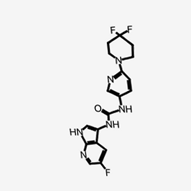 O=C(Nc1ccc(N2CCC(F)(F)CC2)nc1)Nc1c[nH]c2ncc(F)cc12